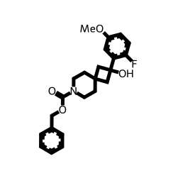 COc1ccc(F)c(C2(O)CC3(CCN(C(=O)OCc4ccccc4)CC3)C2)c1